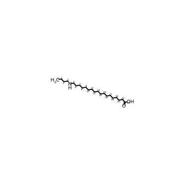 CCCCNCCCCCCCCCCCCCCCCCC(=O)O